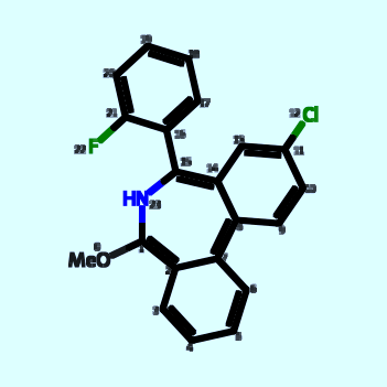 COC1=c2ccccc2=c2ccc(Cl)cc2=C(c2ccccc2F)N1